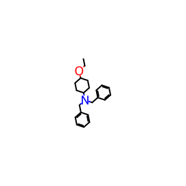 CCOC1CCC(N(Cc2ccccc2)Cc2ccccc2)CC1